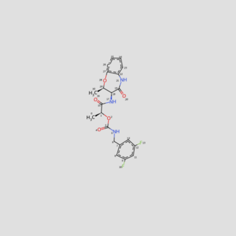 C[C@H](OC(=O)NCc1cc(F)cc(F)c1)C(=O)N[C@@H]1C(=O)Nc2ccccc2O[C@@H]1C